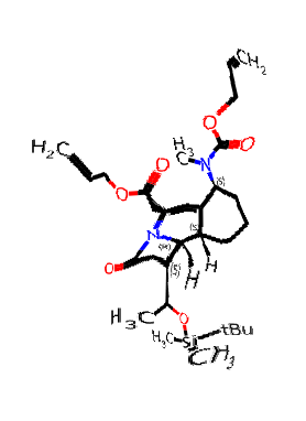 C=CCOC(=O)C1=C2[C@H](CCC[C@@H]2N(C)C(=O)OCC=C)[C@@H]2[C@@H](C(C)O[Si](C)(C)C(C)(C)C)C(=O)N12